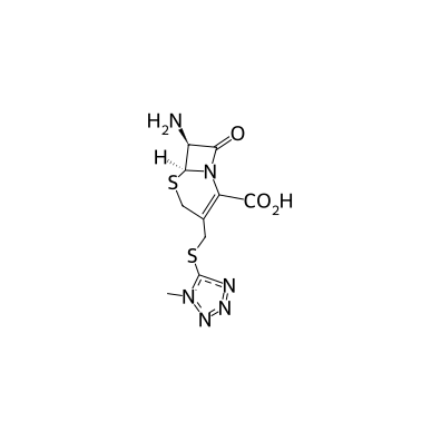 Cn1nnnc1SCC1=C(C(=O)O)N2C(=O)[C@H](N)[C@@H]2SC1